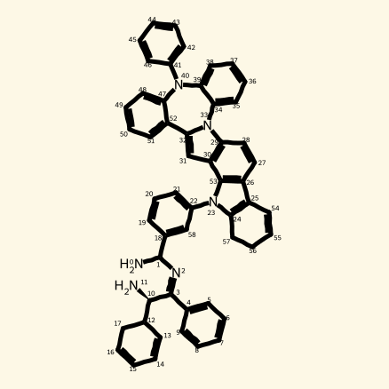 NC(/N=C(/c1ccccc1)[C@H](N)C1C=CC=CC1)c1cccc(-n2c3c(c4ccc5c(cc6n5-c5ccccc5N(c5ccccc5)c5ccccc5-6)c42)C=CCC3)c1